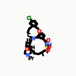 CC(C)N1CCO[C@]2(/C=C/C[C@H](C)[C@@H](C)S(=O)(=O)NC(=O)c3ccc4c(c3)N(CCCCc3cc(Cl)ccc3CO4)C[C@@H]3CC[C@H]32)C1